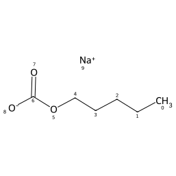 CCCCCOC(=O)[O-].[Na+]